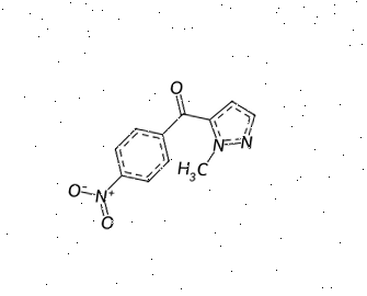 Cn1nccc1C(=O)c1ccc([N+](=O)[O-])cc1